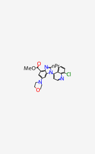 CCCc1nc2c(C(=O)OC)cc(N3CCOCC3)cc2n1-c1ccnc2c(Cl)cccc12